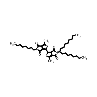 CCCCCCCCC(CCCCCCCC)N1C(=O)c2c(C)sc(-c3sc(C)c4c3C(=O)N(CCCCCCCC)C4=O)c2C1=O